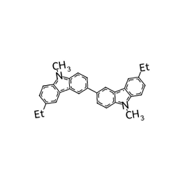 CCc1ccc2c(c1)c1cc(-c3ccc4c(c3)c3cc(CC)ccc3n4C)ccc1n2C